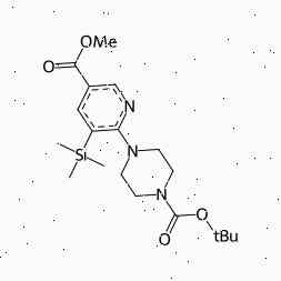 COC(=O)c1cnc(N2CCN(C(=O)OC(C)(C)C)CC2)c([Si](C)(C)C)c1